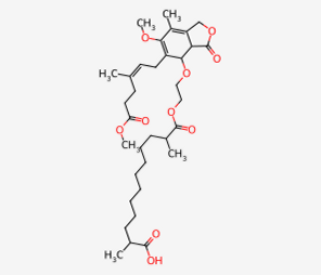 COC(=O)CCC(C)=CCC1=C(OC)C(C)=C2COC(=O)C2C1OCCOC(=O)C(C)CCCCCCCCC(C)C(=O)O